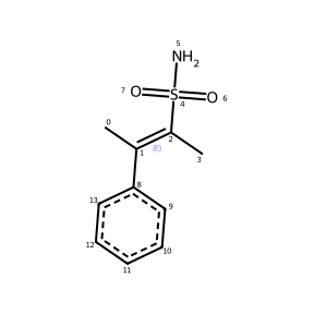 C/C(=C(/C)S(N)(=O)=O)c1ccccc1